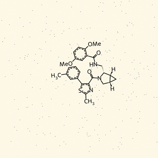 COc1ccc(OC)c(C(=O)NC[C@@H]2[C@@H]3C[C@@H]3CN2C(=O)c2nc(C)sc2-c2cccc(C)c2)c1